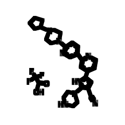 N#Cc1cc(-c2ccnc(-c3ccc(N4CCN(C5CCCC5)CC4)nc3)c2)[nH]c1N1CCNCC1.O=C(O)C(F)(F)F